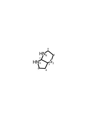 C1CSC2CCNC2N1